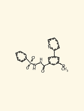 COc1cc(C(=O)NNS(=O)(=O)c2ccccc2)cc(-c2ccccn2)c1